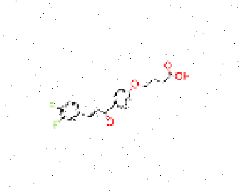 O=C(O)CCCOc1ccc(C(=O)/C=C/c2ccc(F)c(F)c2)cc1